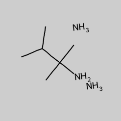 CC(C)C(C)(C)N.N.N